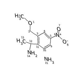 COCc1cc([N+](=O)[O-])ccc1C(C)N.N